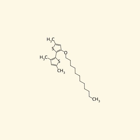 CCCCCCCCCCCCOc1cc(C)sc1-c1sc(C)cc1C